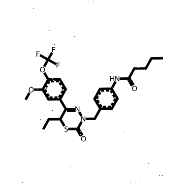 CCCCC(=O)Nc1ccc(CN2N=C(c3ccc(OC(F)(F)F)c(OC)c3)C(CC)SC2=O)cc1